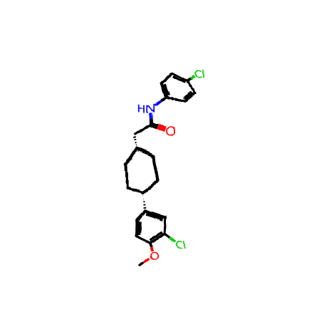 COc1ccc([C@H]2CC[C@@H](CC(=O)Nc3ccc(Cl)cc3)CC2)cc1Cl